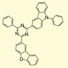 c1ccc(-c2nc(-c3ccc4oc5ccccc5c4c3)nc(-c3ccc4c(c3)c3ccccc3n4-c3ccccc3)n2)cc1